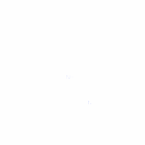 CC(C)CCC(CCc1ccccc1)NCCCN1CCCCC1